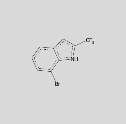 FC(F)(F)c1cc2cccc(Br)c2[nH]1